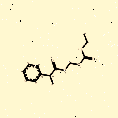 CCSC(=O)OCOC(=O)C(C)c1ccccc1